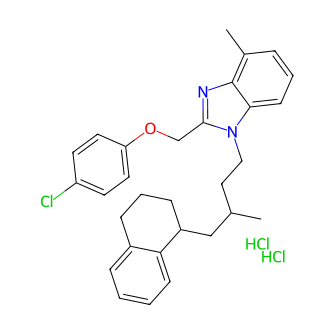 Cc1cccc2c1nc(COc1ccc(Cl)cc1)n2CCC(C)CC1CCCc2ccccc21.Cl.Cl